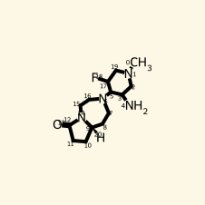 CN1CC(N)C(N2CC[C@@H]3CCC(=O)N3CC2)C(F)C1